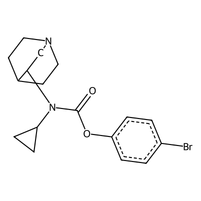 O=C(Oc1ccc(Br)cc1)N(C1CC1)C1CN2CCC1CC2